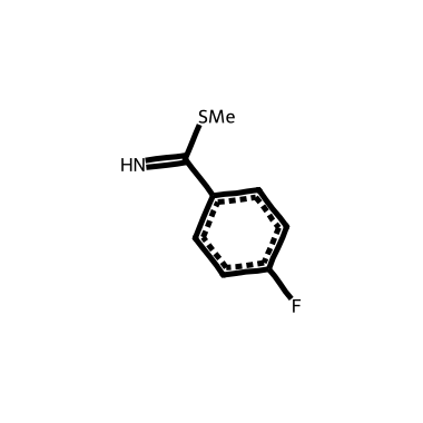 CSC(=N)c1ccc(F)cc1